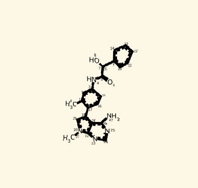 Cc1cc(NC(=O)[C@@H](O)c2ccccc2)ccc1-c1cn(C)c2ncnc(N)c12